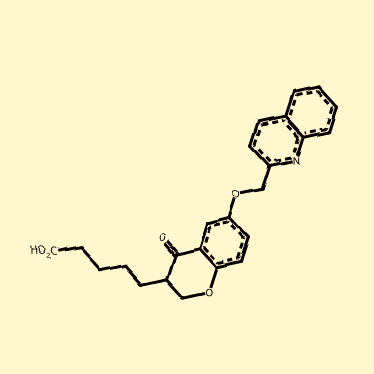 O=C(O)CCCCC1COc2ccc(OCc3ccc4ccccc4n3)cc2C1=O